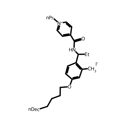 CCCCCCCCCCCCCCOc1ccc(C(CC)NC(=O)c2cc[n+](CCC)cc2)c(C)c1.[I-]